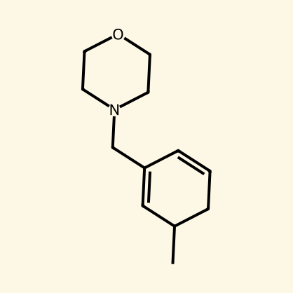 CC1C=C(CN2CCOCC2)C=CC1